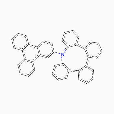 c1ccc2c(c1)c1ccccc1c1cc(-n3c4ccccc4c4ccccc4c4ccccc4c4ccccc43)ccc21